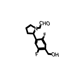 O=CCN1CCCC1c1cc(F)c(CO)cc1F